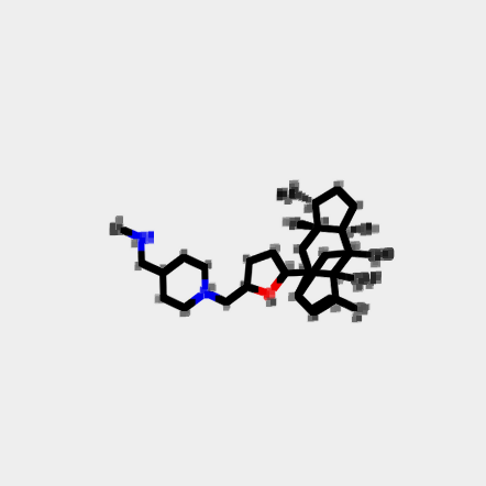 CCNCC1CCN(CC2CCC(C34C[C@@H]5[C@H](C)CC[C@H]5C5(C=O)CC3C=C(C(C)C)C45C(=O)O)O2)CC1